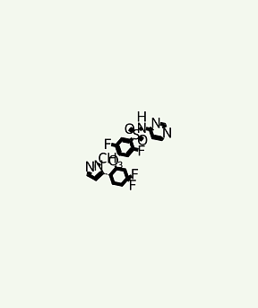 Cn1nccc1[C@H]1CCC(F)(F)C[C@@H]1Oc1cc(F)c(S(=O)(=O)Nc2ccncn2)cc1F